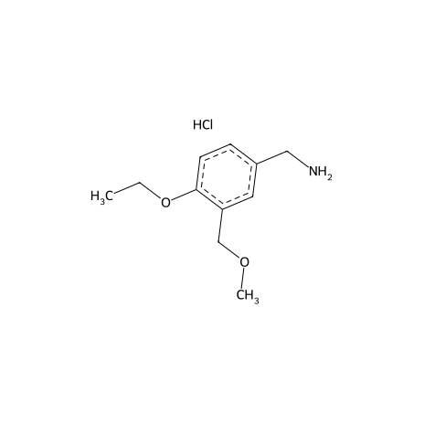 CCOc1ccc(CN)cc1COC.Cl